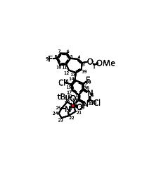 COCOC1=Cc2ccc(F)cc2CC(c2c(Cl)cc3c(N4CC5CCC(C4)N5C(=O)OC(C)(C)C)nc(Cl)nc3c2F)=C1